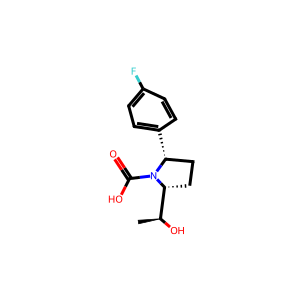 C[C@H](O)[C@H]1CC[C@@H](c2ccc(F)cc2)N1C(=O)O